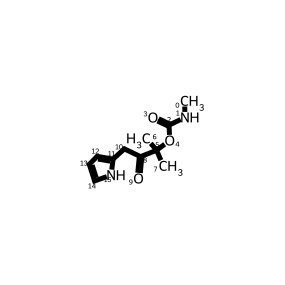 CNC(=O)OC(C)(C)C(=O)Cc1ccc[nH]1